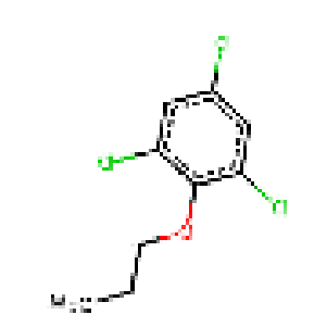 COC[CH]Oc1c(Cl)cc(Cl)cc1Cl